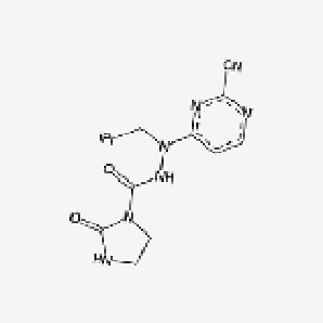 CC(C)CN(NC(=O)N1CCNC1=O)c1ccnc(C#N)n1